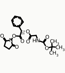 CC(C)(C)OC(=O)NCC(=O)O[C@H](C(=O)ON1C(=O)CCC1=O)c1ccccc1